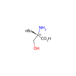 CCCC[C@](N)(CO)C(=O)O